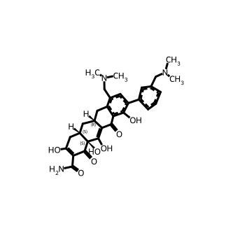 CN(C)Cc1cccc(-c2cc(CN(C)C)c3c(c2O)C(=O)C2=C(O)[C@]4(O)C(=O)C(C(N)=O)=C(O)C[C@@H]4C[C@@H]2C3)c1